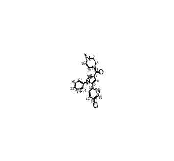 CN1CCN(C(=O)c2cc(-c3ccc(Cl)cn3)n(-c3cccnc3)n2)CC1